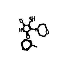 Cc1ccccc1.O=C1NC(=O)C(N2CCOCC2)=C1S